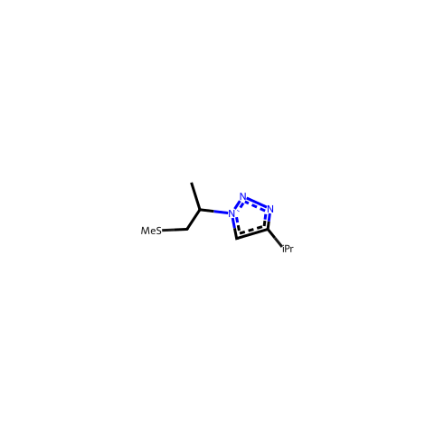 CSCC(C)n1cc(C(C)C)nn1